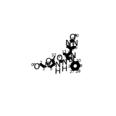 COCCN1C[C@@H](NC(=O)Nc2c(C)c(-c3cnc(OC)nc3)nn2-c2ccccc2)[C@H](C)O1